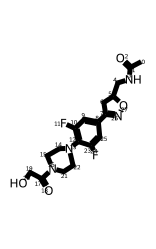 CC(=O)NCC1CC(c2cc(F)c(N3CCN(C(=O)CO)CC3)c(F)c2)=NO1